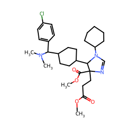 COC(=O)CCC1(C(=O)OC)N=CN(C2CCCCC2)C1C1CCC(C(c2ccc(Cl)cc2)N(C)C)CC1